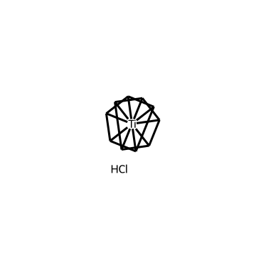 Cl.[CH]12[CH]3[CH]4[CH]5[CH]1[Ti]23451678[CH]2[CH]1[CH]6[CH]7[CH]28